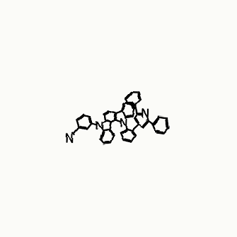 N#Cc1cccc(-n2c3ccccc3c3c2ccc2c4ccccc4n(-c4ccccc4-c4cc(-c5ccccc5)nc(-c5ccccc5)c4)c23)c1